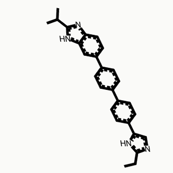 CCc1ncc(-c2ccc(-c3ccc(-c4ccc5nc(C(C)C)[nH]c5c4)cc3)cc2)[nH]1